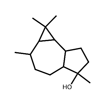 CC1CCC2C(CCC2(C)O)C2C1C2(C)C